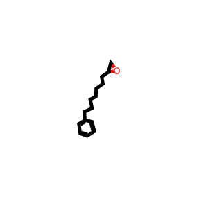 c1ccc(CCCCCCCC2CO2)cc1